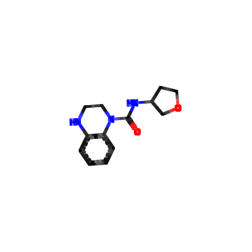 O=C(NC1CCOC1)N1CCNc2ccccc21